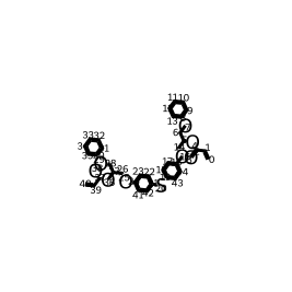 C=CC(=O)OC(COc1ccccc1)COc1ccc(Sc2ccc(OCC(COc3ccccc3)OC(=O)C=C)cc2)cc1